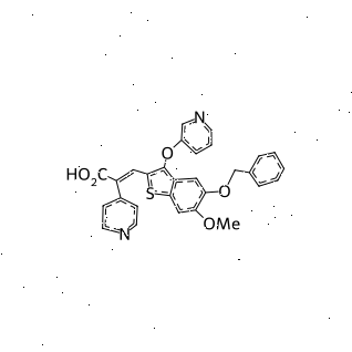 COc1cc2sc(C=C(C(=O)O)c3ccncc3)c(Oc3cccnc3)c2cc1OCc1ccccc1